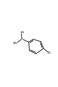 CCc1ccc(P(C(C)C)C(C)C)cc1